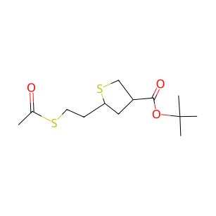 CC(=O)SCCC1CC(C(=O)OC(C)(C)C)CS1